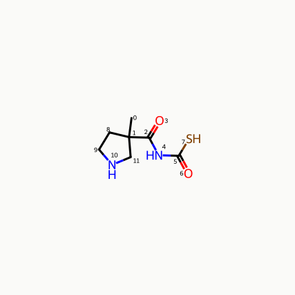 CC1(C(=O)NC(=O)S)CCNC1